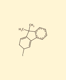 CC1(C)C2=CCC(I)C=C2c2ccccc21